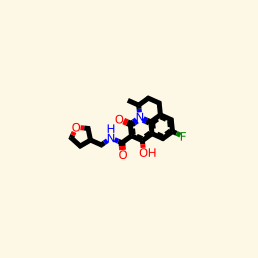 CC1CCc2cc(F)cc3c(O)c(C(=O)NCC4CCOC4)c(=O)n1c23